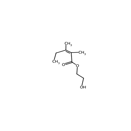 CCC(C)=C(C)C(=O)OCCO